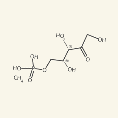 C.O=C(CO)[C@@H](O)[C@H](O)COP(=O)(O)O